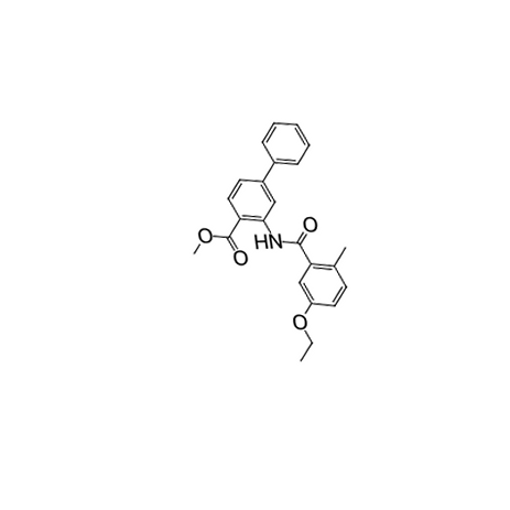 CCOc1ccc(C)c(C(=O)Nc2cc(-c3ccccc3)ccc2C(=O)OC)c1